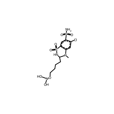 CN1c2cc(Cl)c(S(N)(=O)=O)cc2S(=O)(=O)NC1CCCCON(O)O